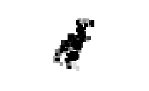 COc1c(CN2CC3(CC(OC)C3)C2)cc(F)cc1Nc1ncc(Cl)c(Nc2ccccc2P(C)C)n1